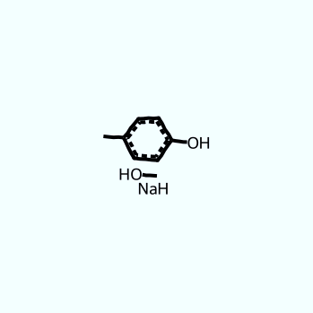 CO.Cc1ccc(O)cc1.[NaH]